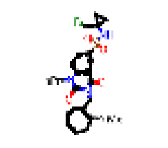 CCCn1c(=O)n(CC2=C(NC)CC=CC=C2)c(=O)c2cc(S(=O)(=O)NC3(CF)CC3)ccc21